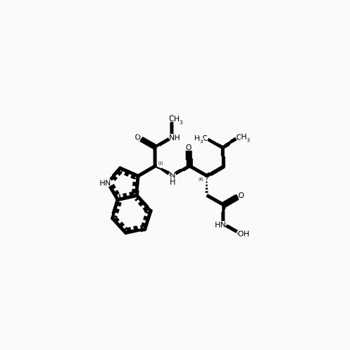 CNC(=O)[C@@H](NC(=O)[C@@H](CC(=O)NO)CC(C)C)c1c[nH]c2ccccc12